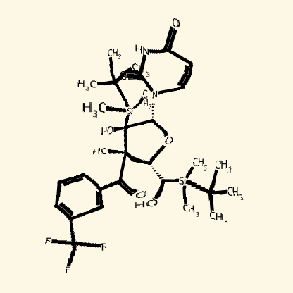 CC(C)(C)[Si](C)(C)C(O)[C@H]1O[C@@H](n2ccc(=O)[nH]c2=O)[C@@](O)([Si](C)(C)C(C)(C)C)[C@@]1(O)C(=O)c1cccc(C(F)(F)F)c1